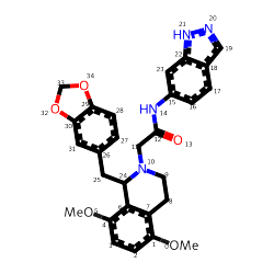 COc1ccc(OC)c2c1CCN(CC(=O)Nc1ccc3cn[nH]c3c1)C2Cc1ccc2c(c1)OCO2